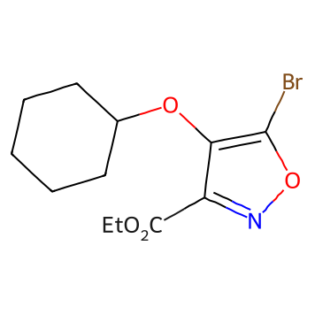 CCOC(=O)c1noc(Br)c1OC1CCCCC1